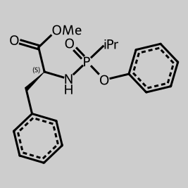 COC(=O)[C@H](Cc1ccccc1)NP(=O)(Oc1ccccc1)C(C)C